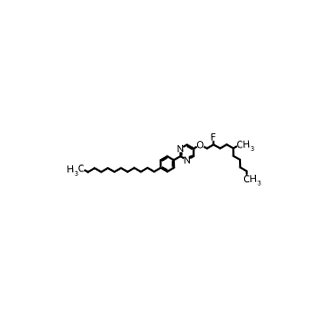 CCCCCCCCCCCCc1ccc(-c2ncc(OCC(F)CCC(C)CCCCC)cn2)cc1